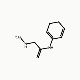 C=C(CNC(C)(C)C)NC1=CCCC=C1